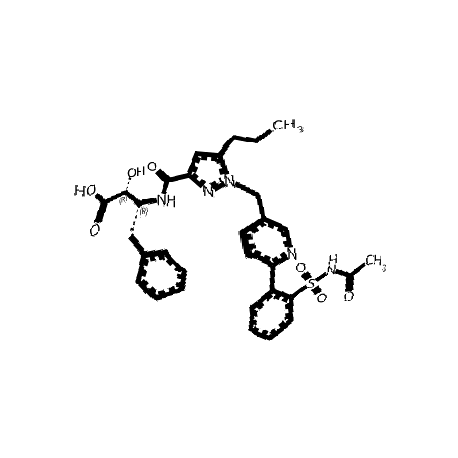 CCCc1cc(C(=O)N[C@H](Cc2ccccc2)[C@@H](O)C(=O)O)nn1Cc1ccc(-c2ccccc2S(=O)(=O)NC(C)=O)nc1